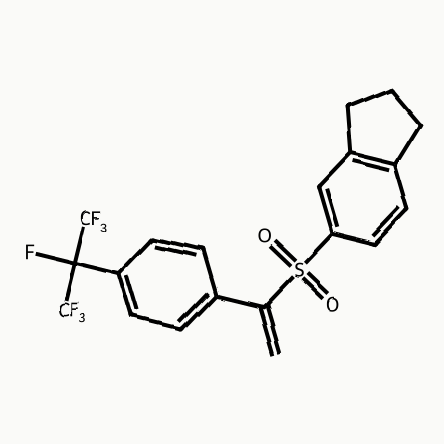 C=C(c1ccc(C(F)(C(F)(F)F)C(F)(F)F)cc1)S(=O)(=O)c1ccc2c(c1)CCC2